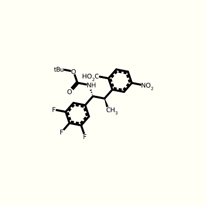 C[C@H](c1cc([N+](=O)[O-])ccc1C(=O)O)[C@@H](NC(=O)OC(C)(C)C)c1cc(F)c(F)c(F)c1